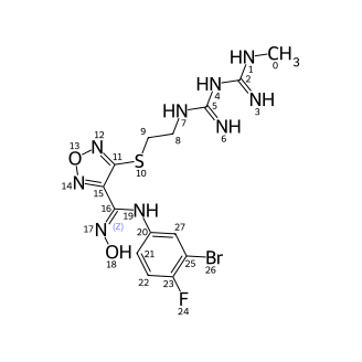 CNC(=N)NC(=N)NCCSc1nonc1/C(=N/O)Nc1ccc(F)c(Br)c1